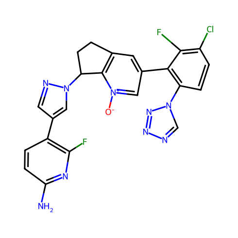 Nc1ccc(-c2cnn(C3CCc4cc(-c5c(-n6cnnn6)ccc(Cl)c5F)c[n+]([O-])c43)c2)c(F)n1